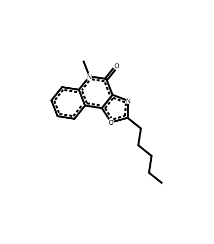 CCCCCc1nc2c(=O)n(C)c3ccccc3c2o1